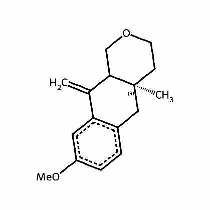 C=C1c2cc(OC)ccc2C[C@]2(C)CCOCC12